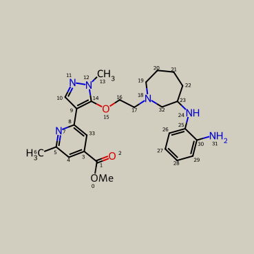 COC(=O)c1cc(C)nc(-c2cnn(C)c2OCCN2CCCCC(Nc3ccccc3N)C2)c1